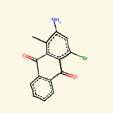 Cc1c(N)cc(Br)c2c1C(=O)c1ccccc1C2=O